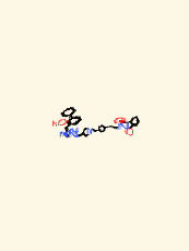 O=C1c2ccccc2C(=O)N1CCc1ccc(CCN2CCC(Cn3cnc(Cc4cccc(C5CCCCC5)c4O)n3)CC2)cc1